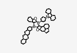 C1=Cc2cc3oc4c(c3c3cccc1c23)B(c1ccc(-n2c3ccccc3c3ccccc32)cc1)c1oc2ccccc2c1B4c1ccc2cc3cc4ccccc4cc3cc2c1